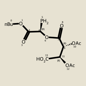 CCCCOC(=O)[C@@H](P)OC(=O)[C@H](OC(C)=O)[C@@H](OC(C)=O)C(=O)O